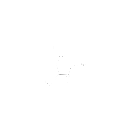 C=C(COCC)C(=O)OC(C)(C)C